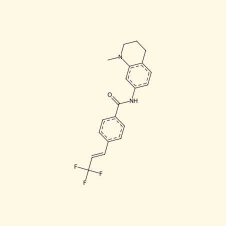 CN1CCCc2ccc(NC(=O)c3ccc(C=CC(F)(F)F)cc3)cc21